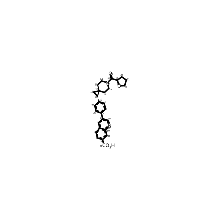 O=C(O)c1ccc2cc(-c3ccc([C@H]4CC45CCN(C(=O)C4CCCO4)CC5)cc3)cnc2c1